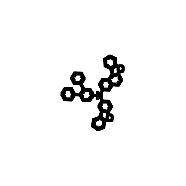 c1ccc(-c2ccc(N(c3ccc4c(ccc5oc6ccccc6c54)c3)c3ccc4oc5ccccc5c4c3)cc2-c2ccccc2)cc1